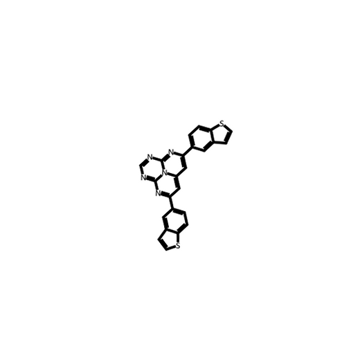 C1=NC2=NC(c3ccc4sccc4c3)=CC3=CC(c4ccc5sccc5c4)=NC(=N1)N32